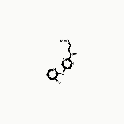 COCCN(C)c1ncc(Oc2ncccc2Br)cn1